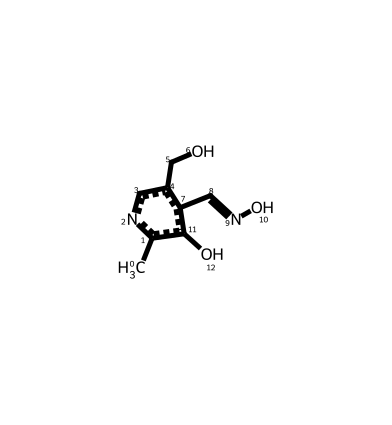 Cc1ncc(CO)c(/C=N/O)c1O